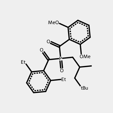 CCc1cccc(CC)c1C(=O)P(=O)(CC(C)CC(C)(C)C)C(=O)c1c(OC)cccc1OC